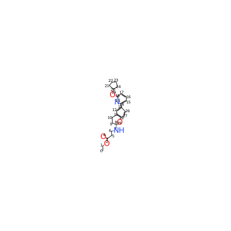 CCOC(=O)CCNC1CCc2cc(-c3cccc(OC4CCCC4)n3)ccc2O1